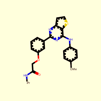 COc1ccc(Nc2nc(-c3cccc(OCC(=O)NC(C)C)c3)nc3ccsc23)cc1